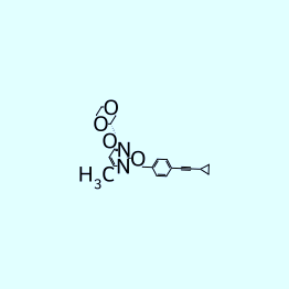 Cc1cc(OC[C@H]2COCCO2)nc(OCc2ccc(C#CC3CC3)cc2)n1